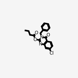 CCCC(=O)Oc1nc2cc(Cl)ccc2c(=O)n1Cc1ccccc1